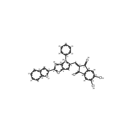 O=C1C(=Cc2cc3oc(-c4cc5ccccc5o4)nc3n2-c2ccccc2)C(=O)c2cc(Cl)c(Cl)cc21